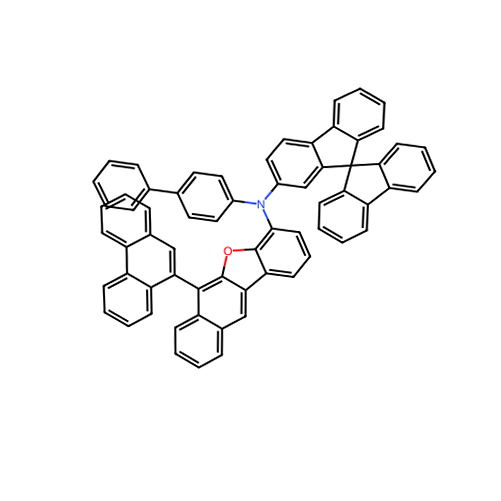 c1ccc(-c2ccc(N(c3ccc4c(c3)C3(c5ccccc5-c5ccccc53)c3ccccc3-4)c3cccc4c3oc3c(-c5cc6ccccc6c6ccccc56)c5ccccc5cc34)cc2)cc1